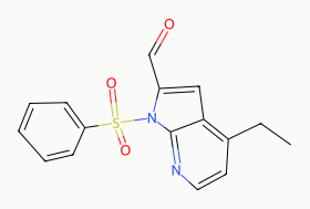 CCc1ccnc2c1cc(C=O)n2S(=O)(=O)c1ccccc1